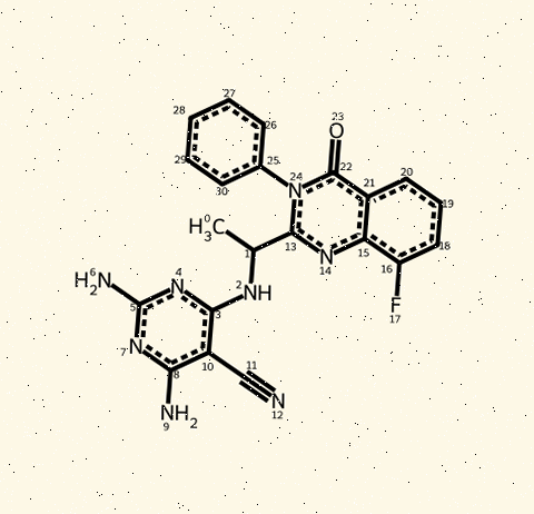 CC(Nc1nc(N)nc(N)c1C#N)c1nc2c(F)cccc2c(=O)n1-c1ccccc1